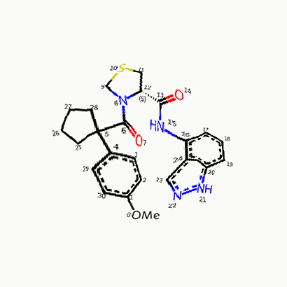 COc1ccc(C2(C(=O)N3CSC[C@@H]3C(=O)Nc3cccc4[nH]ncc34)CCCC2)cc1